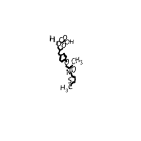 Cc1ccc(-c2nc(COc3ccc(CC4COC(C)(C(=O)O)OC4)cc3)c(C)o2)s1